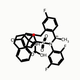 C[C@H](c1ccc(F)cc1CCC1(NC(=O)O)CCCc2ccccc21)N(c1cc(F)ccc1F)S(=O)(=O)c1ccc(Cl)cc1